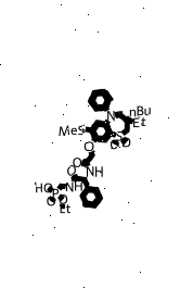 CCCCC1(CC)CN(c2ccccc2)c2cc(SC)c(OCC(=O)N[C@@H](C(=O)NCP(=O)(O)OCC)c3ccccc3)cc2S(=O)(=O)C1